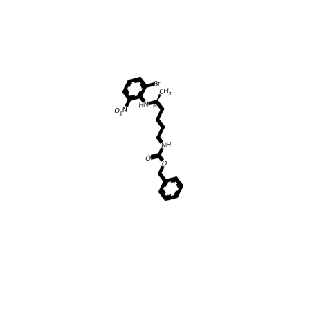 C[C@@H](CCCCNC(=O)OCc1ccccc1)Nc1c(Br)cccc1[N+](=O)[O-]